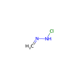 C=NNCl